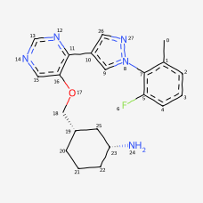 Cc1cccc(F)c1-n1cc(-c2ncncc2OC[C@H]2CCC[C@@H](N)C2)cn1